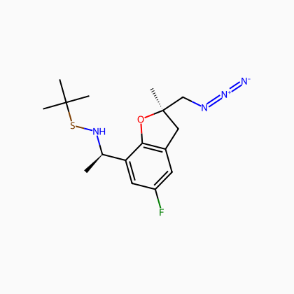 C[C@@H](NSC(C)(C)C)c1cc(F)cc2c1O[C@@](C)(CN=[N+]=[N-])C2